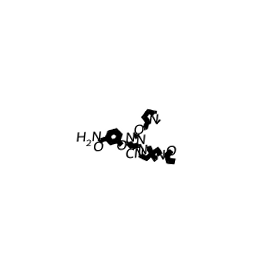 C=CC(=O)N1CC2(CCN(c3nc(OCC4CCCN4C)nc(Oc4cccc(C(N)=O)c4)c3C#N)C2)C1